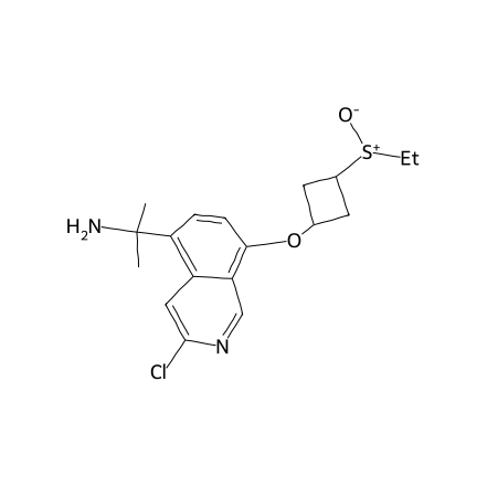 CC[S+]([O-])C1CC(Oc2ccc(C(C)(C)N)c3cc(Cl)ncc23)C1